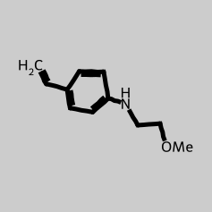 C=Cc1ccc(NCCOC)cc1